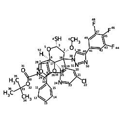 CO[C@H]1[C@@H](S)O[C@@H]2COC(c3ccccc3)O[C@@H]2C1(c1cc(Cl)cnc1C1=CCN(C(=O)OC(C)(C)C)C1)n1cc(-c2cc(F)c(F)c(F)c2)nn1